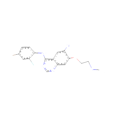 Nc1cc2c(Nc3ccc(Br)cc3F)ncnc2cc1OCCNC(=O)O